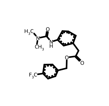 CN(C)C(=O)Nc1cccc(CC(=O)OCc2ccc(C(F)(F)F)cc2)c1